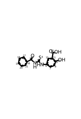 O=C(NC(=S)Nc1ccc(O)c(C(=O)O)c1)c1ccccc1